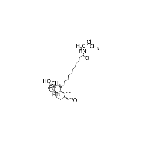 CC(C)(Cl)CNC(=O)CCCCCCCCCC[C@H]1C[C@]2(C)[C@@H](O)CC[C@H]2[C@@H]2CCC3=CC(=O)CCC3=C12